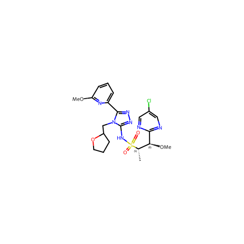 COc1cccc(-c2nnc(NS(=O)(=O)[C@@H](C)[C@H](OC)c3ncc(Cl)cn3)n2CC2CCCO2)n1